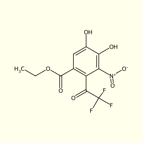 CCOC(=O)c1cc(O)c(O)c([N+](=O)[O-])c1C(=O)C(F)(F)F